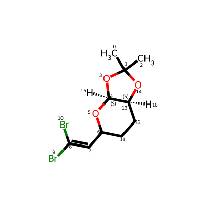 CC1(C)O[C@@H]2OC(C=C(Br)Br)CC[C@@H]2O1